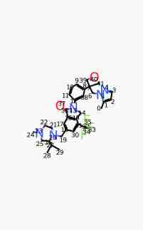 Cc1ccnn1CC1(c2cccc(N3Cc4c(cc(CN5CCN(C)CC5C(C)C)cc4C(F)(F)F)C3=O)c2)COC1